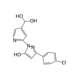 Oc1cc(-c2ccc(Cl)cc2)nn1-c1cc(C(O)O)ccn1